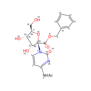 CC(=O)Nc1ccn([C@]2(C(=O)OCc3ccccc3)O[C@H](CO)[C@@H](O)[C@H]2O)c(=O)n1